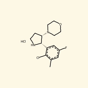 Cc1cc(F)cc([C@@H]2NCC[C@@H]2N2CCOCC2)c1Cl.Cl